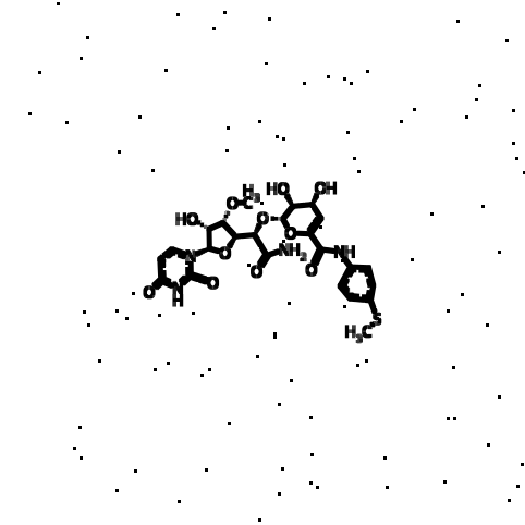 CO[C@H]1[C@@H](O)[C@H](n2ccc(=O)[nH]c2=O)O[C@@H]1[C@@H](O[C@H]1OC(C(=O)Nc2ccc(SC)cc2)=C[C@H](O)[C@@H]1O)C(N)=O